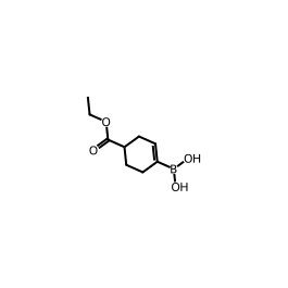 CCOC(=O)C1CC=C(B(O)O)CC1